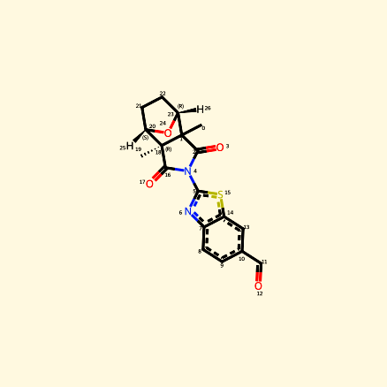 CC12C(=O)N(c3nc4ccc(C=O)cc4s3)C(=O)[C@@]1(C)[C@@H]1CC[C@H]2O1